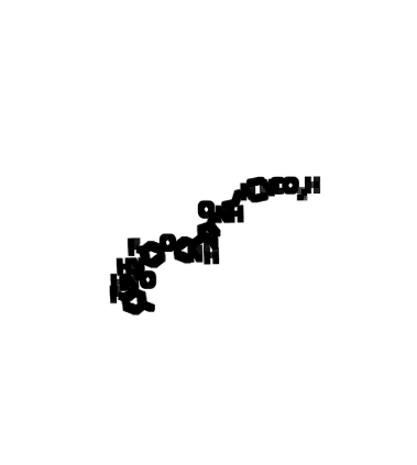 Cc1ccc(F)c(NC(=O)Nc2ccc(Oc3ccnc(-c4cc(C(=O)NCCCN5CCN(C(=O)O)CC5)c[nH]4)c3)cc2F)c1